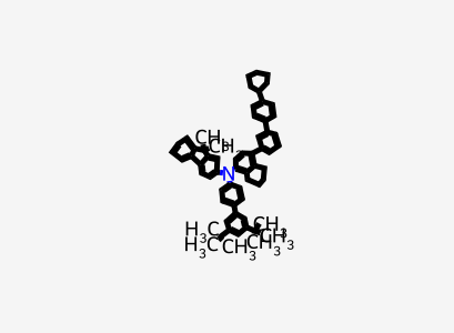 CC(C)(C)c1cc(-c2ccc(N(c3ccc4c(c3)C(C)(C)c3ccccc3-4)c3ccc(-c4cccc(-c5ccc(C6CCCCC6)cc5)c4)c4c3CCCC4)cc2)cc(C(C)(C)C)c1